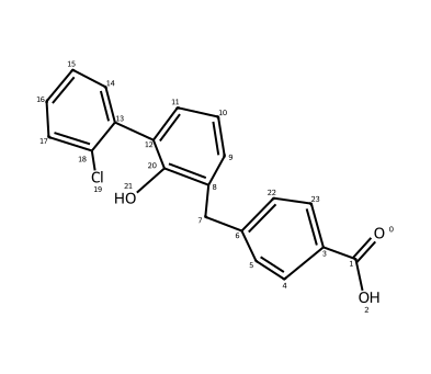 O=C(O)c1ccc(Cc2cccc(-c3ccccc3Cl)c2O)cc1